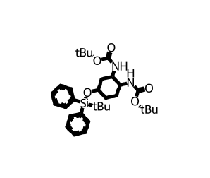 CC(C)(C)OC(=O)NC1CCC(O[Si](c2ccccc2)(c2ccccc2)C(C)(C)C)CC1NC(=O)OC(C)(C)C